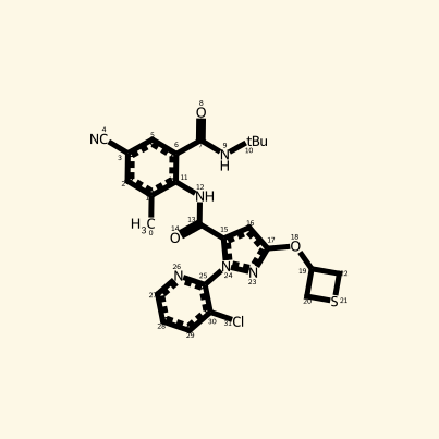 Cc1cc(C#N)cc(C(=O)NC(C)(C)C)c1NC(=O)c1cc(OC2CSC2)nn1-c1ncccc1Cl